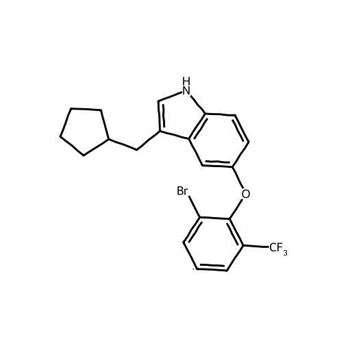 FC(F)(F)c1c[c]cc(Br)c1Oc1ccc2[nH]cc(CC3CCCC3)c2c1